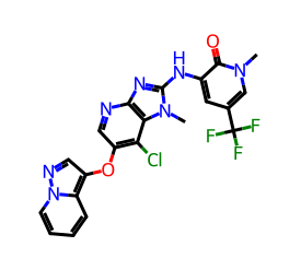 Cn1cc(C(F)(F)F)cc(Nc2nc3ncc(Oc4cnn5ccccc45)c(Cl)c3n2C)c1=O